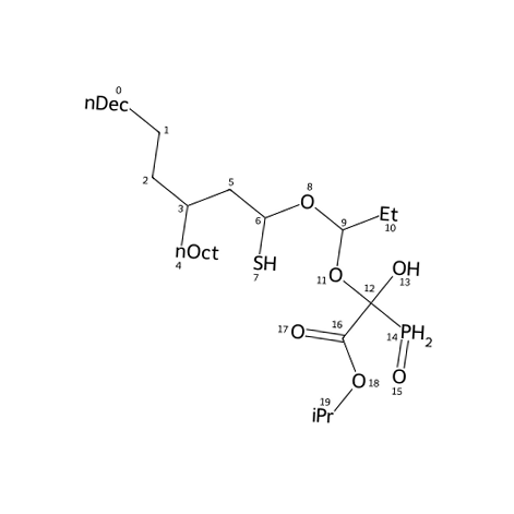 CCCCCCCCCCCCC(CCCCCCCC)CC(S)OC(CC)OC(O)([PH2]=O)C(=O)OC(C)C